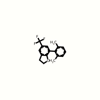 Cc1cccc(C)c1-c1cc(C(F)(F)F)cc2c1O[CH]C2